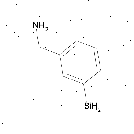 NCc1ccc[c]([BiH2])c1